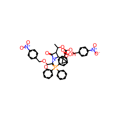 CC(OC(=O)OCc1ccc([N+](=O)[O-])cc1)C1C(=O)N(C(C(=O)OCc2ccc([N+](=O)[O-])cc2)=P(c2ccccc2)(c2ccccc2)c2ccccc2)C1C1(C(=O)O)CC1